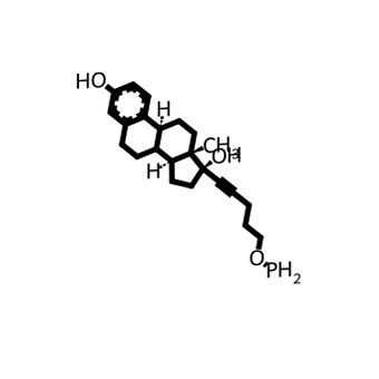 C[C@]12CC[C@@H]3c4ccc(O)cc4CCC3[C@@H]1CC[C@@]2(O)C#CCCCOP